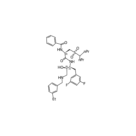 CCCC(CCC)S(=O)(=O)C[C@H](NC(=O)c1ccccc1)C(=O)N[C@@H](Cc1cc(F)cc(F)c1)[C@H](O)CNCc1cccc(CC)c1